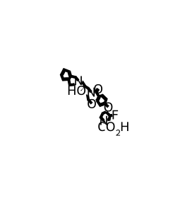 O=C(O)N1CCC(Oc2ccc3c(c2)OCCN(C[C@H](O)CN2CCc4ccccc4C2)C3=O)C(F)C1